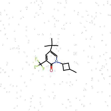 CC1CC(n2cc(C(C)(C)C)cc(C(F)(F)F)c2=O)C1